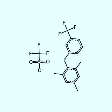 Cc1cc(C)c([I+]c2cccc(C(F)(F)F)c2)c(C)c1.O=S(=O)([O-])C(F)(F)F